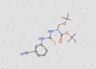 CC(C)(C)OCC(NC(=S)Nc1cccc(C#N)c1)C(=O)OC(C)(C)C